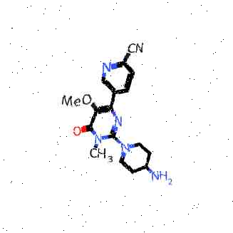 COc1c(-c2ccc(C#N)nc2)nc(N2CCC(N)CC2)n(C)c1=O